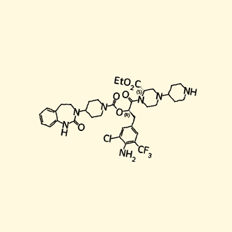 CCOC(=O)[C@@H]1CN(C2CCNCC2)CCN1C(=O)[C@@H](Cc1cc(Cl)c(N)c(C(F)(F)F)c1)OC(=O)N1CCC(N2CCc3ccccc3NC2=O)CC1